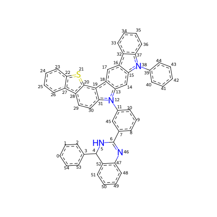 c1ccc(C2NC(c3cccc(-n4c5cc6c(cc5c5c7sc8ccccc8c7ccc54)c4ccccc4n6-c4ccccc4)c3)=Nc3ccccc32)cc1